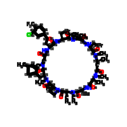 CCC(C)[C@@H]1NC(=O)[C@H](C)N(C)C(=O)C[C@@H](C)N(C)C(=O)[C@H](CC(C)C)NC(=O)C(C)(C)N(C)C(=O)[C@H](CC(C)C)NC(=O)[C@H](CCc2ccc(C(F)(F)F)c(Cl)c2)NC(=O)CN(C)C(=O)[C@H](Cc2ccc(C)cc2)N(C)C(=O)[C@@H]2CCN2C(=O)[C@H](C)N(C)C1=O